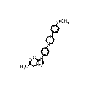 COc1ccc(N2CCN(c3ccc(-n4cnn(CC(C)=O)c4=O)cc3)CC2)cc1